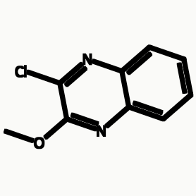 COc1nc2ccccc2nc1Cl